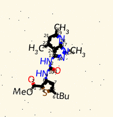 COC(=O)c1sc(C(C)(C)C)cc1NC(=O)Nc1nn(C)c2nc(C)cc(C)c12